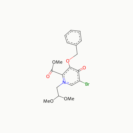 COC(=O)c1c(OCc2ccccc2)c(=O)c(Br)cn1CC(OC)OC